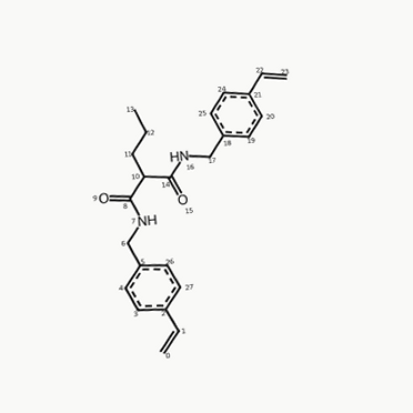 C=Cc1ccc(CNC(=O)C(CCC)C(=O)NCc2ccc(C=C)cc2)cc1